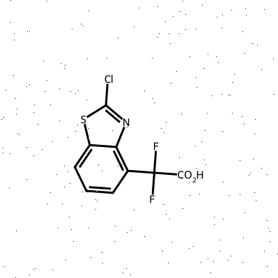 O=C(O)C(F)(F)c1cccc2sc(Cl)nc12